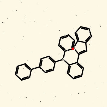 c1ccc(-c2ccc(N(c3ccccc3)c3ccccc3-c3cc4ccccc4o3)cc2)cc1